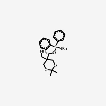 CC1(C)OCC(CN)(CO[Si](c2ccccc2)(c2ccccc2)C(C)(C)C)CO1